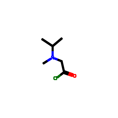 CC(C)N(C)CC(=O)Cl